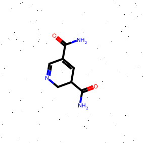 NC(=O)C1=CC(C(N)=O)CN=C1